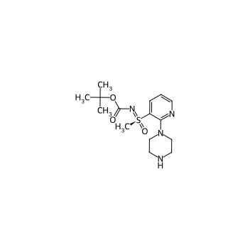 CC(C)(C)OC(=O)N=[S@@](C)(=O)c1cccnc1N1CCNCC1